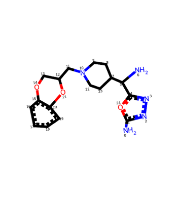 Nc1nnc(C(N)C2CCN(CC3COc4ccccc4O3)CC2)o1